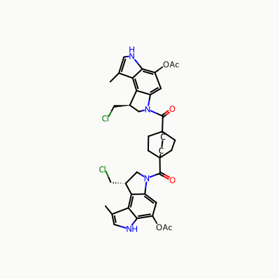 CC(=O)Oc1cc2c(c3c(C)c[nH]c13)[C@H](CCl)CN2C(=O)C12CCC(C(=O)N3C[C@@H](CCl)c4c3cc(OC(C)=O)c3[nH]cc(C)c43)(CC1)CC2